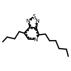 CCCCCCc1ncc(CCCC)c2nsnc12